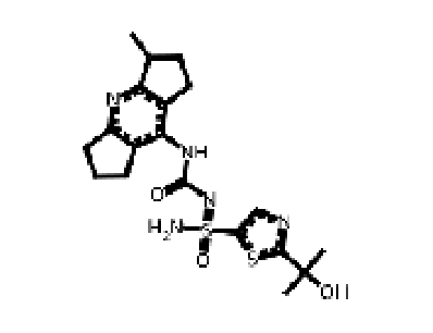 CC1CCc2c1nc1c(c2NC(=O)N=S(N)(=O)c2cnc(C(C)(C)O)s2)CCC1